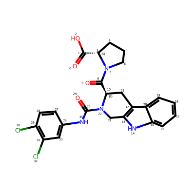 O=C(O)[C@@H]1CCCN1C(=O)[C@H]1Cc2c([nH]c3ccccc23)CN1C(=O)Nc1ccc(Cl)c(Cl)c1